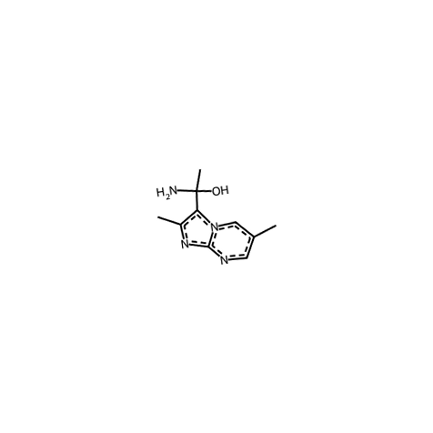 Cc1cnc2nc(C)c(C(C)(N)O)n2c1